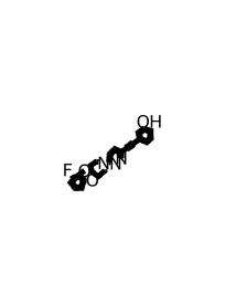 Oc1cccc(C#Cc2ccc(N3CCC4(CC3)Oc3cccc(F)c3O4)nn2)c1